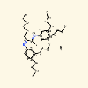 CCCCCCC(=Nc1ccc(CCCC)c(CCCC)c1)C(C)=Nc1ccc(CCCC)c(CCCC)c1.[Ni]